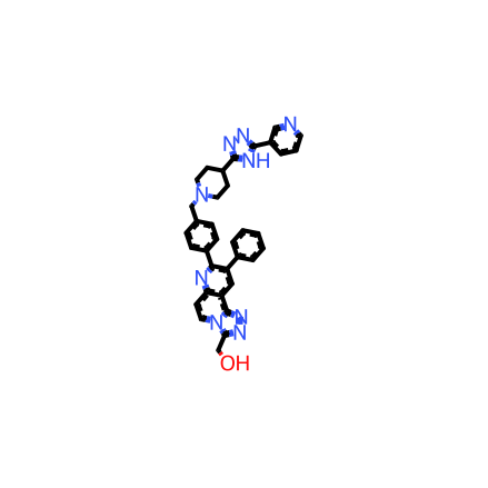 OCc1nnc2c3cc(-c4ccccc4)c(-c4ccc(CN5CCC(c6nnc(-c7cccnc7)[nH]6)CC5)cc4)nc3ccn12